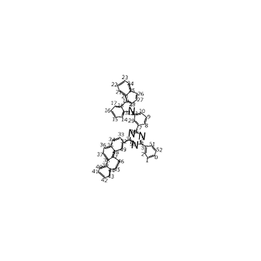 c1ccc(-c2nc(-c3cccc(-n4c5ccccc5c5c6ccccc6ccc54)c3)nc(-c3ccc4ccc5c6ccccc6ccc5c4c3)n2)cc1